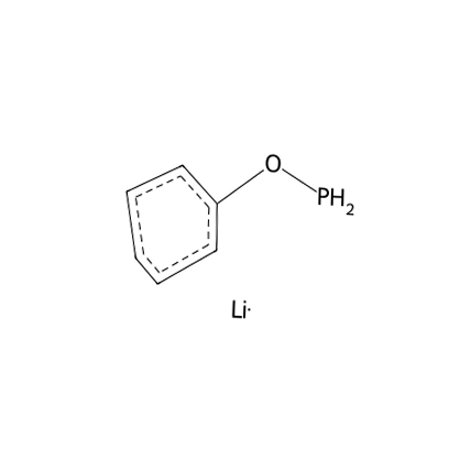 POc1ccccc1.[Li]